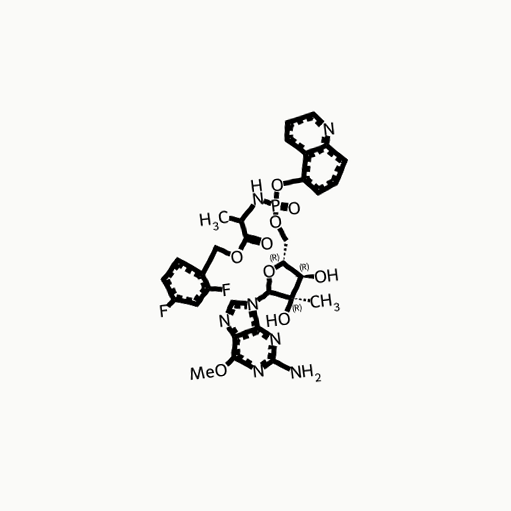 COc1nc(N)nc2c1ncn2C1O[C@H](COP(=O)(NC(C)C(=O)OCc2ccc(F)cc2F)Oc2cccc3ncccc23)[C@@H](O)[C@@]1(C)O